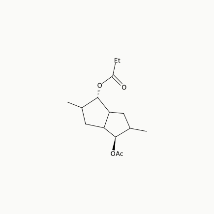 CCC(=O)O[C@H]1C(C)CC2C1CC(C)[C@H]2OC(C)=O